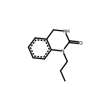 CCCN1C(=O)NCc2ccccc21